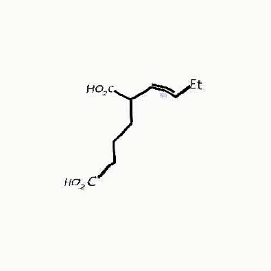 CC/C=C/C(CCCC(=O)O)C(=O)O